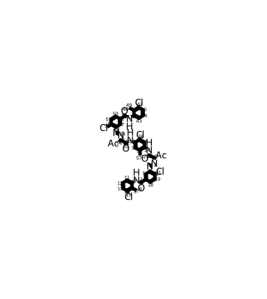 CC(=O)C(N=Nc1cc(C(=O)Nc2cccc(Cl)c2C)ccc1Cl)C(=O)Nc1cc(Cl)c(NC(=O)C(N=Nc2cc(C(=O)Nc3cccc(Cl)c3C)ccc2Cl)C(C)=O)cc1C